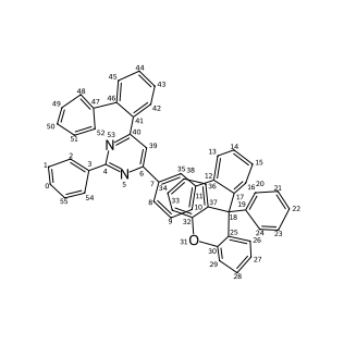 c1ccc(-c2nc(-c3cccc(-c4ccccc4C4(c5ccccc5)c5ccccc5Oc5ccccc54)c3)cc(-c3ccccc3-c3ccccc3)n2)cc1